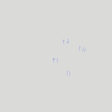 C=CC[N+]1(CC=C)CCN=C1C1=NCCN1